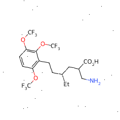 CCC(CCc1c(OC(F)(F)F)ccc(OC(F)(F)F)c1OC(F)(F)F)CC(CN)C(=O)O